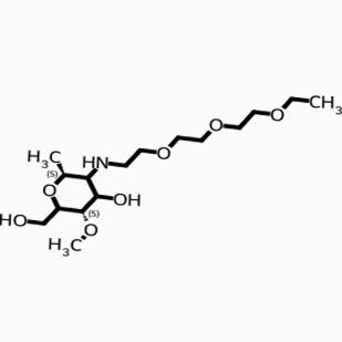 CCOCCOCCOCCNC1C(O)[C@H](OC)C(CO)O[C@H]1C